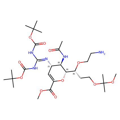 COC(=O)C1=C[C@H](N=C(NC(=O)OC(C)(C)C)NC(=O)OC(C)(C)C)[C@@H](NC(C)=O)[C@H]([C@@H](CCOC(C)(C)OC)OCCN)O1